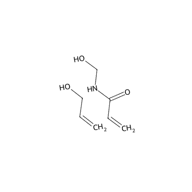 C=CC(=O)NCO.C=CCO